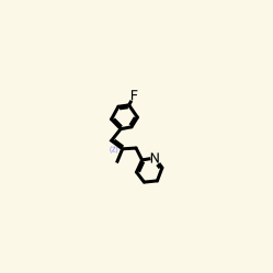 C/C(=C/c1ccc(F)cc1)CC1=CCCC=N1